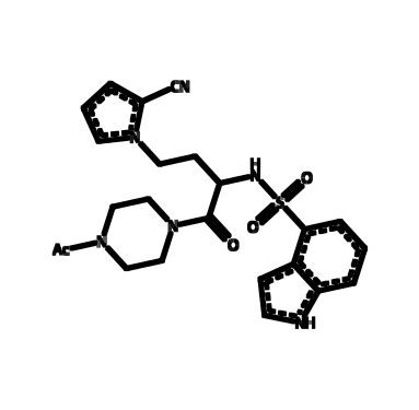 CC(=O)N1CCN(C(=O)C(CCn2cccc2C#N)NS(=O)(=O)c2cccc3[nH]ccc23)CC1